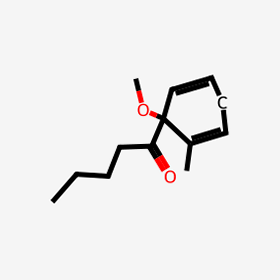 CCCCC(=O)C1(OC)C=CCC=C1C